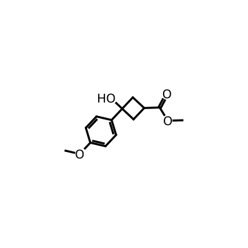 COC(=O)C1CC(O)(c2ccc(OC)cc2)C1